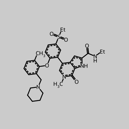 CCNC(=O)c1cc2c(-c3cc(S(=O)(=O)CC)ccc3Oc3c(C)cccc3CN3CCCCC3)cn(C)c(=O)c2[nH]1